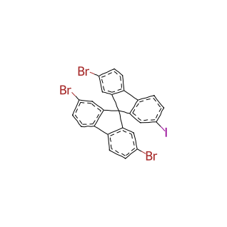 Brc1ccc2c(c1)C1(c3cc(Br)ccc3-2)c2cc(Br)ccc2-c2ccc(I)cc21